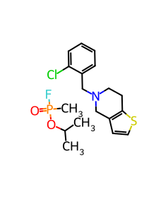 CC(C)OP(C)(=O)F.Clc1ccccc1CN1CCc2sccc2C1